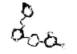 O=[N+]([O-])c1cc(C(F)(F)F)ccc1N1CCN(c2nsnc2OCc2ccncc2)CC1